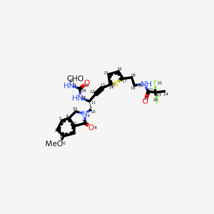 COc1ccc2c(c1)C(=O)N(C[C@@H](C#Cc1ccc(CCNC(=O)C(C)(F)F)s1)NC(=O)NC=O)C2